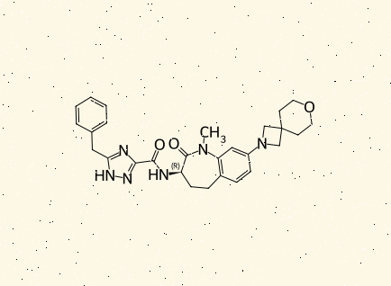 CN1C(=O)[C@H](NC(=O)c2n[nH]c(Cc3ccccc3)n2)CCc2ccc(N3CC4(CCOCC4)C3)cc21